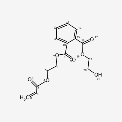 C=CC(=O)OCCOC(=O)c1ccccc1C(=O)OCCO